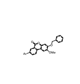 COc1cc2c(cc1OCc1ccccc1)oc(=O)c1cc(C(C)=O)ccc12